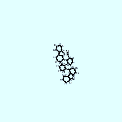 N#Cc1cccc(-c2c(-c3ccc4c(c3)sc3ccccc34)cccc2-c2cccc3oc4ccccc4c23)c1